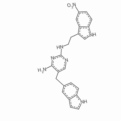 Nc1nc(NCCc2c[nH]c3ccc([N+](=O)[O-])cc23)ncc1Cc1ccc2[nH]ccc2c1